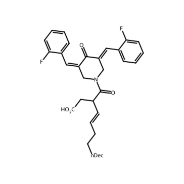 CCCCCCCCCCCCC=CC(CC(=O)O)C(=O)N1CC(=Cc2ccccc2F)C(=O)C(=Cc2ccccc2F)C1